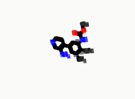 CC(=O)O[C@H]1[C@H](C)C=C(c2ccncc2N)C[C@@H]1NC(=O)OC(C)(C)C